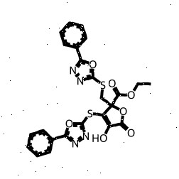 CCOC(=O)C1(CSc2nnc(-c3ccccc3)o2)OC(=O)C(O)=C1Sc1nnc(-c2ccccc2)o1